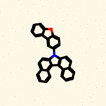 c1ccc2c(c1)ccc1c2c2c3ccccc3ccc2n1-c1ccc2oc3ccccc3c2c1